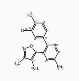 Cc1noc(-c2nc(N)cnc2-c2ccc(O)c(Cl)c2)c1C